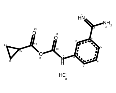 Cl.N=C(N)c1cccc(NC(=O)OC(=O)C2CC2)c1